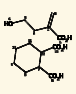 C=C(CCO)C(=O)O.O=C(O)C1CCCCC1C(=O)O